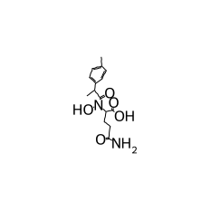 Cc1ccc(C(C)C(=O)N(O)C(CCC(N)=O)C(=O)O)cc1